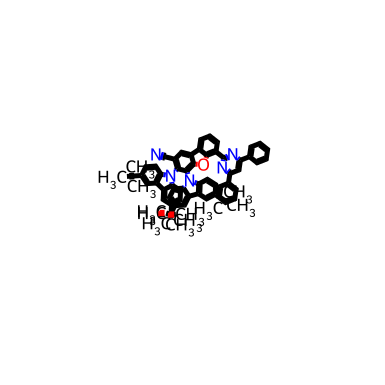 CC(C)(C)c1ccc2c(c1)c1cc(C(C)(C)C)ccc1n2-c1c(C#N)cc2c(oc3c(-c4nc(-c5ccccc5)cc(-c5ccccc5)n4)cccc32)c1-n1c2ccc(C(C)(C)C)cc2c2cc(C(C)(C)C)ccc21